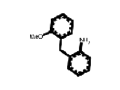 COc1ccccc1Cc1ccccc1N